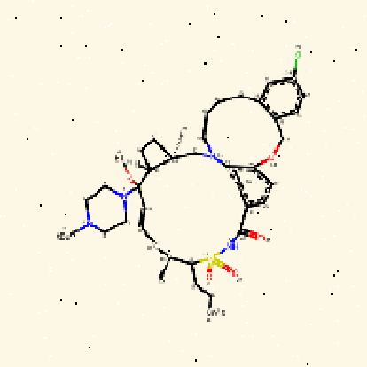 CCO[C@]1(N2CCN(C(C)(C)C)CC2)/C=C/C[C@H](C)C(CCOC)S(=O)(=O)NC(=O)c2ccc3c(c2)N(CCCCc2cc(Cl)ccc2CO3)C[C@@H]2CC[C@H]21